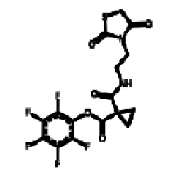 O=C1CSC(=O)N1CCNC(=O)C1(C(=O)Oc2c(F)c(F)c(F)c(F)c2F)CC1